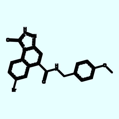 COc1ccc(CNC(=O)c2cc3n[nH]c(=O)n3c3ccc(Br)cc23)cc1